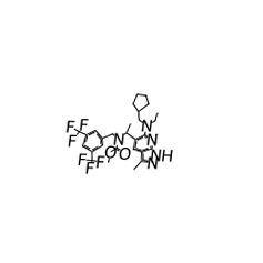 CCN(CC1CCCC1)c1nc2[nH]nc(C)c2cc1C(C)N(Cc1cc(C(F)(F)F)cc(C(F)(F)F)c1)C(=O)OC